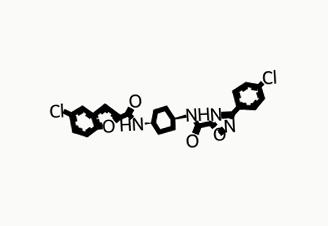 O=C(N[C@H]1CC[C@H](NC(=O)c2nc(-c3ccc(Cl)cc3)no2)CC1)c1cc2cc(Cl)ccc2o1